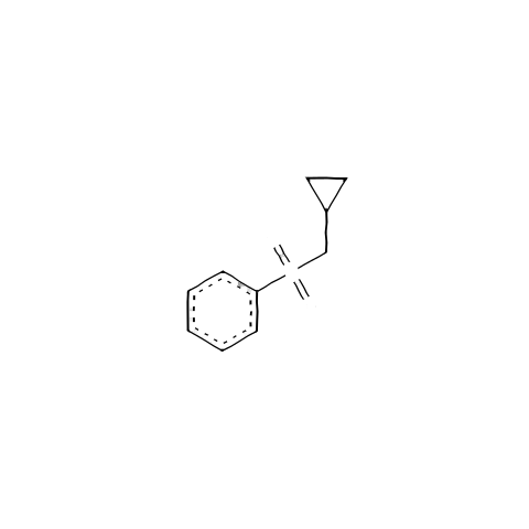 O=S(=O)(CC1CC1)c1cc[c]cc1